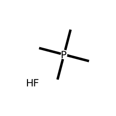 C[P](C)(C)C.F